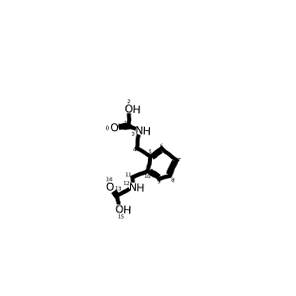 O=C(O)NCc1ccccc1CNC(=O)O